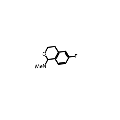 CNC1OCCc2cc(F)ccc21